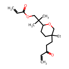 C=CC(=O)CCC1(CC)CCC(C(C)(C)COC(=O)C=C)OC1